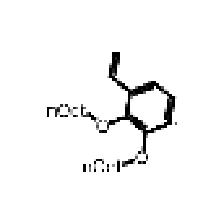 [CH]=Cc1cc[c]c(OCCCCCCCC)c1OCCCCCCCC